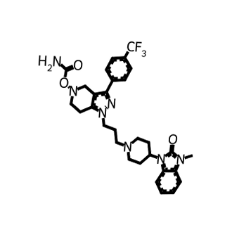 Cn1c(=O)n(C2CCN(CCCn3nc(-c4ccc(C(F)(F)F)cc4)c4c3CCN(OC(N)=O)C4)CC2)c2ccccc21